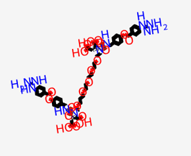 N=C(N)Nc1ccc(C(=O)Oc2ccc(CNS(=O)(=O)N(CCOCCOCCOCCOCCCOCN([C@@H](CC(=O)O)C(=O)O)S(=O)(=O)NCc3ccc(OC(=O)c4ccc(NC(=N)N)cc4)cc3)[C@@H](CC(=O)O)C(=O)O)cc2)cc1